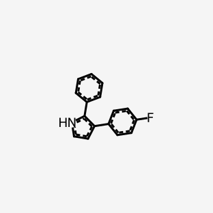 Fc1ccc(-c2cc[nH]c2-c2ccccc2)cc1